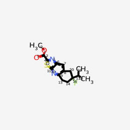 COC(=O)c1nc2cc3c(nc2s1)CC[C@@](F)(C(C)C)C3